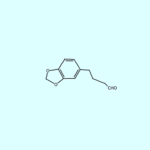 O=CCCCc1ccc2c(c1)OCO2